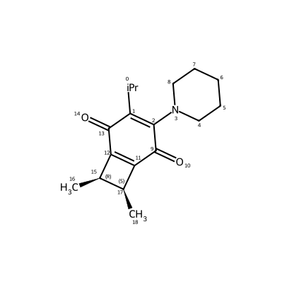 CC(C)C1=C(N2CCCCC2)C(=O)C2=C(C1=O)[C@H](C)[C@@H]2C